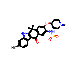 CN1CCC(Oc2cc3c(cc2N[SH](=O)=O)C(=O)c2c([nH]c4cc(C#N)ccc24)C3(C)C)CC1